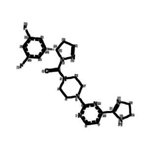 O=C(N1CCN(c2nccc(C3=NCCN3)n2)CC1)N1N=CC[C@H]1c1cc(F)cc(F)c1